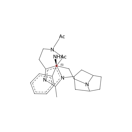 CC(=O)N[C@@H](CCN1C2CCC1CC(n1c(C)nc3c1CN(C(C)=O)CC3)C2)c1ccccc1